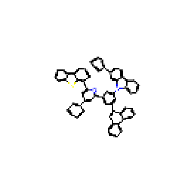 c1ccc(-c2cc(-c3cc(-c4cc5ccccc5c5ccccc45)cc(-n4c5ccccc5c5ccc(-c6ccccc6)cc54)c3)nc(-c3cccc4c3sc3ccccc34)c2)cc1